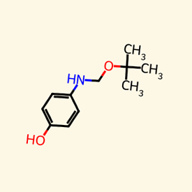 CC(C)(C)OCNc1ccc(O)cc1